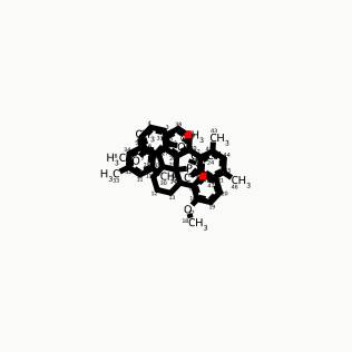 COc1cccc(OC)c1C1CCCC(c2c(OC)cccc2OC)C1(c1c(-c2c(C)cc(C)cc2C)cccc1-c1c(C)cc(C)cc1C)P(=O)=O